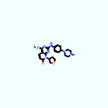 Cc1nc(Nc2ccc(N3CCNCC3)cc2)nc2c1ccc(=O)n2C1CCOC1